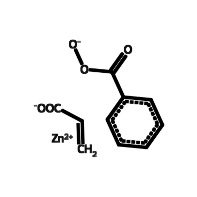 C=CC(=O)[O-].O=C(O[O-])c1ccccc1.[Zn+2]